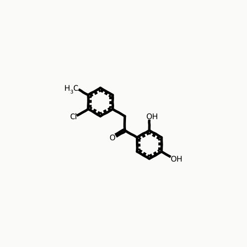 Cc1ccc(CC(=O)c2ccc(O)cc2O)cc1Cl